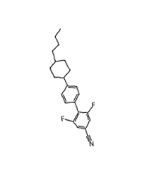 CCCCC1CCC(c2ccc(-c3c(F)cc(C#N)cc3F)cc2)CC1